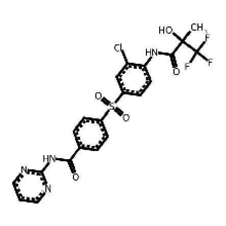 CC(O)(C(=O)Nc1ccc(S(=O)(=O)c2ccc(C(=O)Nc3ncccn3)cc2)cc1Cl)C(F)(F)F